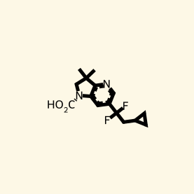 CC1(C)CN(C(=O)O)c2cc(C(F)(F)CC3CC3)cnc21